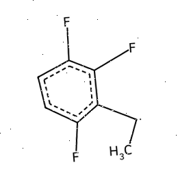 C[CH]c1c(F)ccc(F)c1F